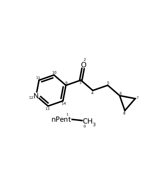 CCCCCC.O=C(CCC1CC1)c1ccncc1